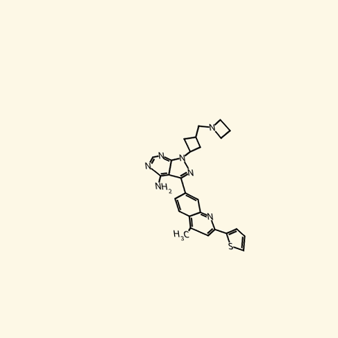 Cc1cc(-c2cccs2)nc2cc(-c3nn(C4CC(CN5CCC5)C4)c4ncnc(N)c34)ccc12